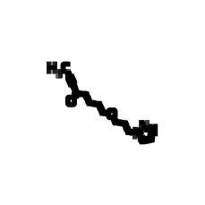 CC#CC(=O)CCCCOCCCn1ccnn1